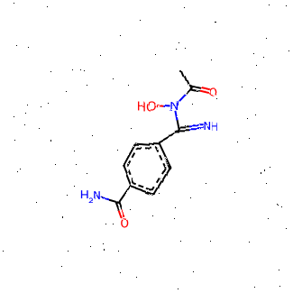 CC(=O)N(O)C(=N)c1ccc(C(N)=O)cc1